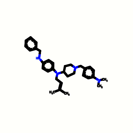 CC(C)=CCN(c1ccc(NCc2ccccc2)cc1)C1CCN(Cc2ccc(N(C)C)cc2)CC1